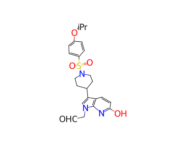 CC(C)Oc1ccc(S(=O)(=O)N2CCC(c3cn(CC=O)c4nc(O)ccc34)CC2)cc1